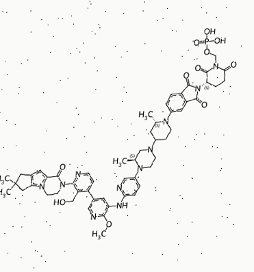 COc1ncc(-c2ccnc(N3CCn4c(cc5c4CC(C)(C)C5)C3=O)c2CO)cc1Nc1ccc(N2CCN(C3CCN(c4ccc5c(c4)C(=O)N([C@H]4CCC(=O)N(COP(=O)(O)O)C4=O)C5=O)[C@@H](C)C3)C[C@@H]2C)cn1